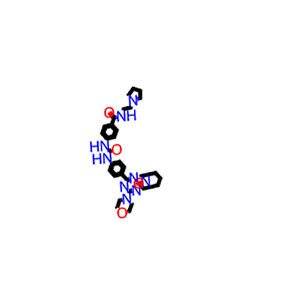 O=C(Nc1ccc(C(=O)NCCN2CCCC2)cc1)Nc1ccc(-c2nc(N3CCOCC3)nc(N3C4CCCC3COC4)n2)cc1